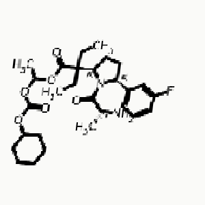 CCC(CC)(C(=O)OC(C)OC(=O)OC1CCCCC1)[C@H]1CC[C@@H](c2cccc(F)c2)N1C(=O)[C@@H](C)N